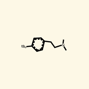 C[Si](C)CCc1ccc(C(C)(C)C)cc1